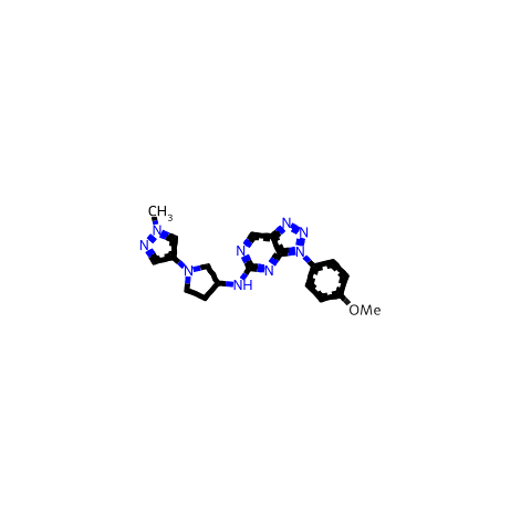 COc1ccc(-n2nnc3cnc(NC4CCN(c5cnn(C)c5)C4)nc32)cc1